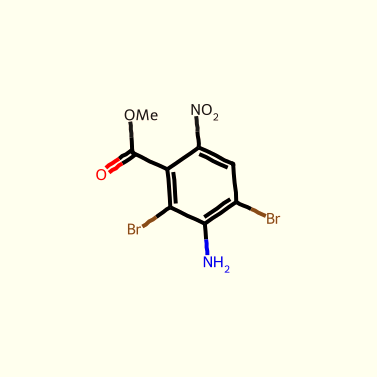 COC(=O)c1c([N+](=O)[O-])cc(Br)c(N)c1Br